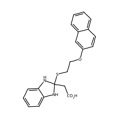 O=C(O)CC1(SCCOc2ccc3ccccc3c2)Nc2ccccc2N1